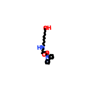 CC(C)(CCNCCCCCCCCCCO)OC(=O)Nc1ccccc1-c1ccccc1